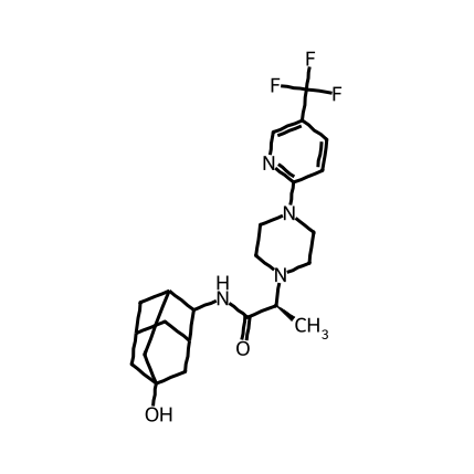 C[C@@H](C(=O)NC1C2CC3CC1CC(O)(C3)C2)N1CCN(c2ccc(C(F)(F)F)cn2)CC1